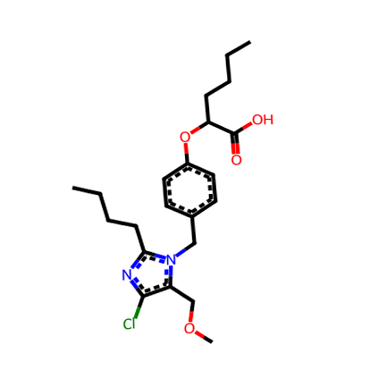 CCCCc1nc(Cl)c(COC)n1Cc1ccc(OC(CCCC)C(=O)O)cc1